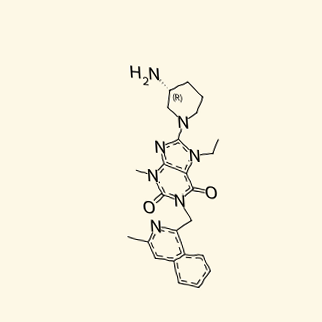 CCn1c(N2CCC[C@@H](N)C2)nc2c1c(=O)n(Cc1nc(C)cc3ccccc13)c(=O)n2C